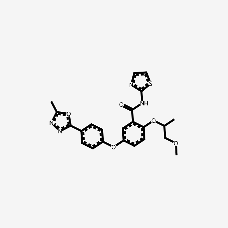 COCC(C)Oc1ccc(Oc2ccc(-c3nnc(C)o3)cc2)cc1C(=O)Nc1nccs1